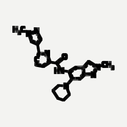 Cn1cc(-c2cccc(C(=O)Nc3cc4cn(C)nc4cc3N3CCCCC3)n2)cn1